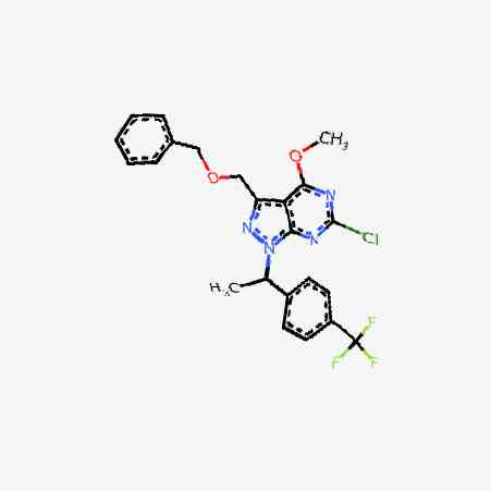 COc1nc(Cl)nc2c1c(COCc1ccccc1)nn2C(C)c1ccc(C(F)(F)F)cc1